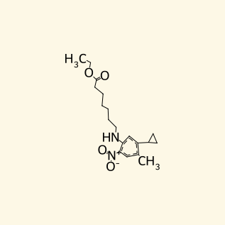 CCOC(=O)CCCCCCNc1cc(C2CC2)c(C)cc1[N+](=O)[O-]